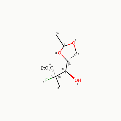 CCOC(=O)[C@](C)(F)[C@H](O)[C@H]1COC(C)O1